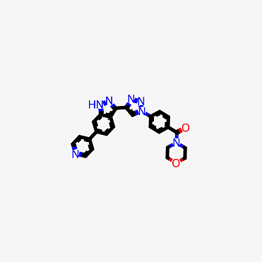 O=C(c1ccc(-n2cc(-c3n[nH]c4cc(-c5ccncc5)ccc34)nn2)cc1)N1CCOCC1